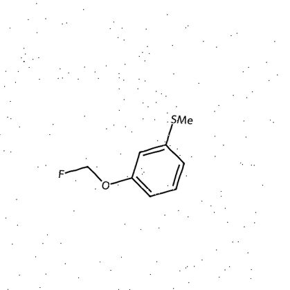 CSc1cccc(OCF)c1